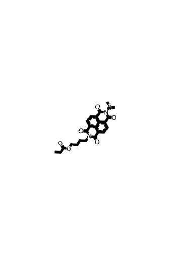 C=CC(=O)OCCCCN1C(=O)c2ccc3c4c(ccc(c24)C1=O)C(=O)N(N(C)C)C3=O